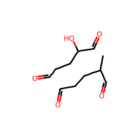 CC(C=O)CCC=O.O=CCCC(O)C=O